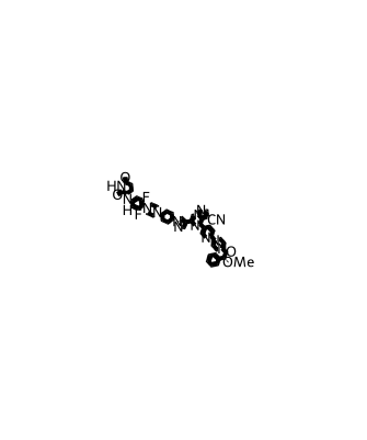 CO[C@@H](C(=O)N1CCN(c2ccc(-c3nc(-c4cnn([C@H]5CC[C@@H](N6CCN(c7c(F)cc(NC8CCC(=O)NC8=O)cc7F)CC6)CC5)c4)cn4ncc(C#N)c34)cn2)CC1)c1ccccc1